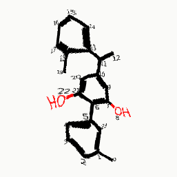 Cc1cccc(-c2c(O)cc(C(C)c3ccccc3C)cc2O)c1